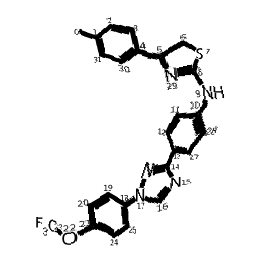 Cc1ccc(C2CSC(Nc3ccc(-c4ncn(-c5ccc(OC(F)(F)F)cc5)n4)cc3)=N2)cc1